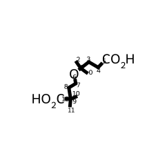 CC(C)(CCC(=O)O)OCCC(C)(C)C(=O)O